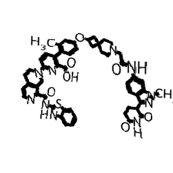 Cc1cc(OC2CC3(CCN(CC(=O)Nc4ccc5c(C6CCC(=O)NC6=O)nn(C)c5c4)CC3)C2)ccc1-c1ccc(N2CCc3ccnc(C(=O)Nc4nc5ccccc5s4)c3C2)nc1C(=O)O